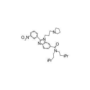 CC(C)CCN(CCC(C)C)C(=O)c1ccc2nc(-c3cccc([N+](=O)[O-])c3)n(CCCN3CCCC3)c2c1